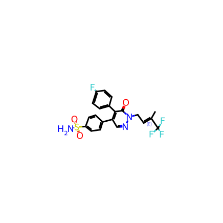 C/C(=C\Cn1ncc(-c2ccc(S(N)(=O)=O)cc2)c(-c2ccc(F)cc2)c1=O)C(F)(F)F